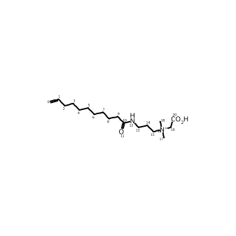 C=CCCCCCCCCC(=O)NCCC[N+](C)(C)CC(=O)O